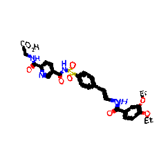 CCOc1ccc(C(=O)NCCc2ccc(S(=O)(=O)NC(=O)c3ccc(C(=O)NCC(=O)O)nc3)cc2)cc1OCC